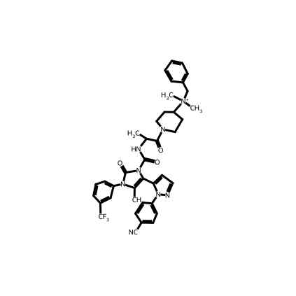 Cc1c(-c2ccnn2-c2ccc(C#N)cc2)n(C(=O)NC(C)C(=O)N2CCC([N+](C)(C)Cc3ccccc3)CC2)c(=O)n1-c1cccc(C(F)(F)F)c1